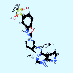 CCS(=O)(=O)c1ccc2oc(N3CCC(C)C(N(C)c4ncnc5[nH]ccc45)C3)nc2c1